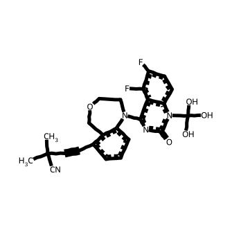 CC(C)(C#N)C#Cc1cccc2c1COCCN2c1nc(=O)n(C(O)(O)O)c2ccc(F)c(F)c12